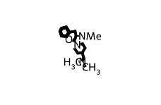 CN[C@H](Cc1ccccc1)C(=O)N1CCC(CN(C)C)CC1